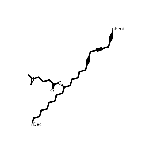 CCCCCC#CCC#CCC#CCCCCCC(CCCCCCCCCCCCCCCCCC)OC(=O)CCCN(C)C